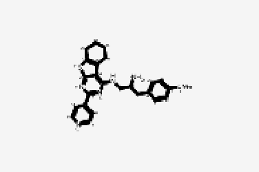 COc1ccc(CC(N)CNc2nc(-c3ccncc3)nc3sc4c(c23)CCCC4)cc1